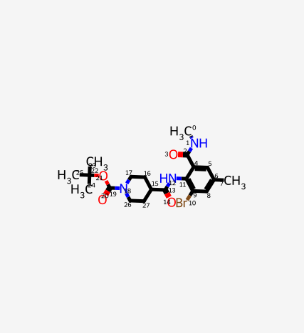 CNC(=O)c1cc(C)cc(Br)c1NC(=O)C1CCN(C(=O)OC(C)(C)C)CC1